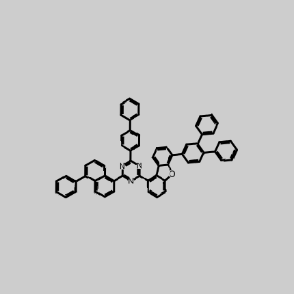 c1ccc(-c2ccc(-c3nc(-c4cccc5c(-c6ccccc6)cccc45)nc(-c4cccc5oc6c(-c7ccc(-c8ccccc8)c(-c8ccccc8)c7)cccc6c45)n3)cc2)cc1